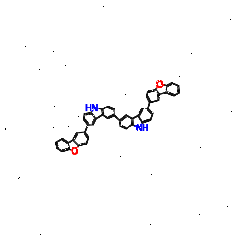 c1ccc2c(c1)oc1ccc(-c3ccc4[nH]c5ccc(-c6ccc7[nH]c8ccc(-c9ccc%10oc%11ccccc%11c%10c9)cc8c7c6)cc5c4c3)cc12